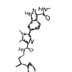 CNC(=O)c1n[nH]c2cc(-c3nc(C(=O)NCCC(C)c4ccccc4)c(C)n3C)ccc12